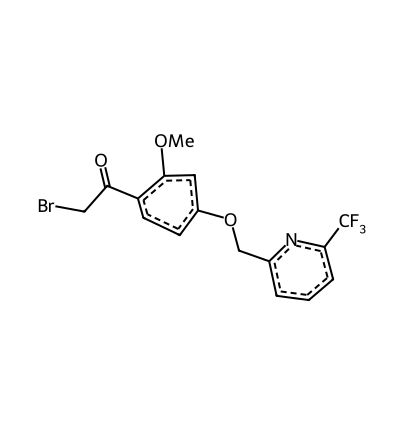 COc1cc(OCc2cccc(C(F)(F)F)n2)ccc1C(=O)CBr